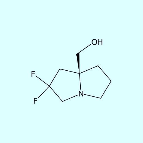 OC[C@@]12CCCN1CC(F)(F)C2